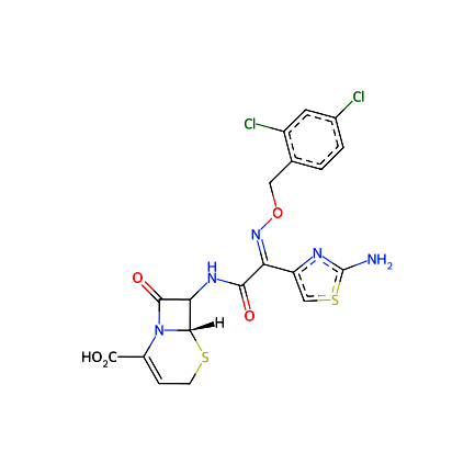 Nc1nc(C(=NOCc2ccc(Cl)cc2Cl)C(=O)NC2C(=O)N3C(C(=O)O)=CCS[C@@H]23)cs1